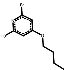 CCCCOc1cc(O)nc(Br)c1